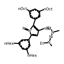 CCCCCCCCc1cc(CCCCCCCC)cc(C2=C(CCCC)C=C(c3cc(CCCCCC)cc(CCCCCC)c3)[N+]2=[N-])c1.CC[N](C)[Ni][N](C)CC